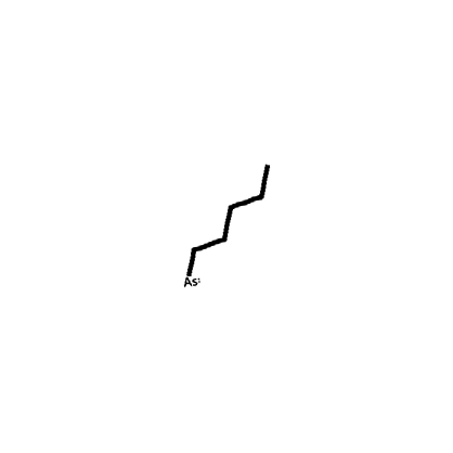 CCCCC[As]